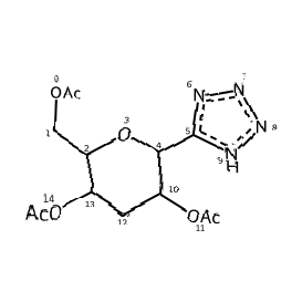 CC(=O)OCC1OC(c2nnn[nH]2)C(OC(C)=O)[CH]C1OC(C)=O